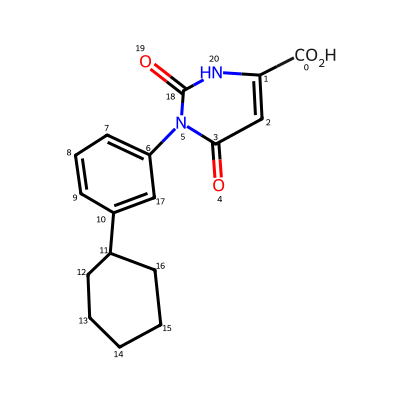 O=C(O)c1cc(=O)n(-c2cccc(C3CCCCC3)c2)c(=O)[nH]1